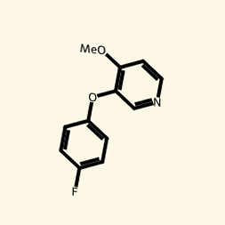 COc1ccncc1Oc1ccc(F)cc1